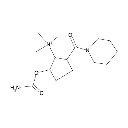 C[N+](C)(C)C1C(OC(N)=O)CCC1C(=O)N1CCCCC1